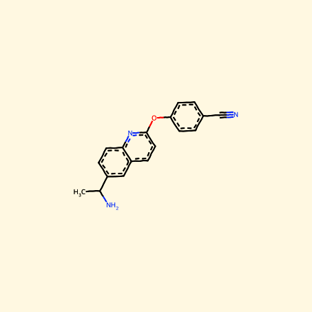 CC(N)c1ccc2nc(Oc3ccc(C#N)cc3)ccc2c1